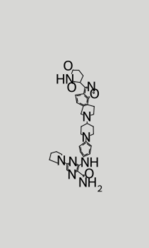 NC(=O)c1ncc(N2CCCCC2)nc1Nc1ccc(N2CCC(N3CCc4c(ccc5c(C6CCC(=O)NC6=O)noc45)C3)CC2)cc1